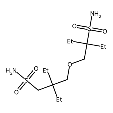 CCC(CC)(COCC(CC)(CC)S(N)(=O)=O)CS(N)(=O)=O